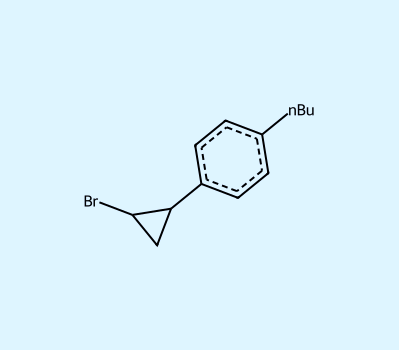 CCCCc1ccc(C2CC2Br)cc1